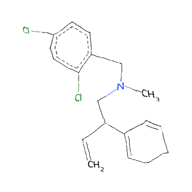 C=CC(CN(C)Cc1ccc(Cl)cc1Cl)C1=CCCC=C1